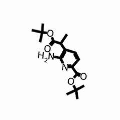 CC(C(=O)OC(C)(C)C)c1ccc(C(=O)OC(C)(C)C)nc1N